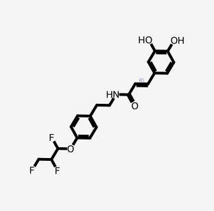 O=C(/C=C/c1ccc(O)c(O)c1)NCCc1ccc(OC(F)C(F)CF)cc1